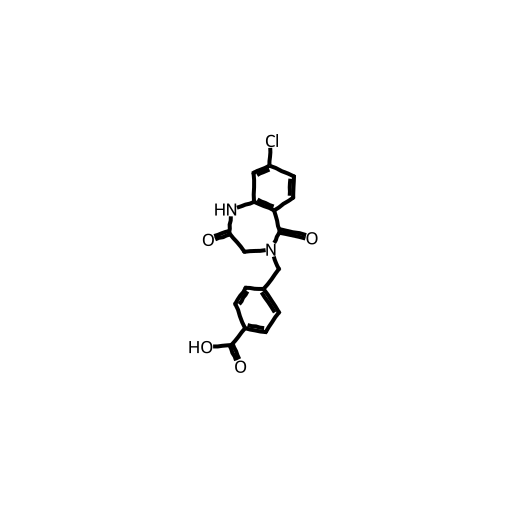 O=C1CN(Cc2ccc(C(=O)O)cc2)C(=O)c2ccc(Cl)cc2N1